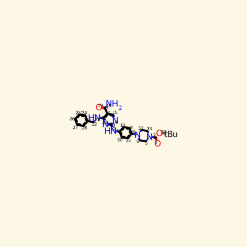 CC(C)(C)OC(=O)N1CCN(c2ccc(Nc3ncc(C(N)=O)c(NCc4ccccc4)n3)cc2)CC1